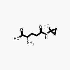 N[C@@H](CCC(=O)NC1(O)CC1)C(=O)O